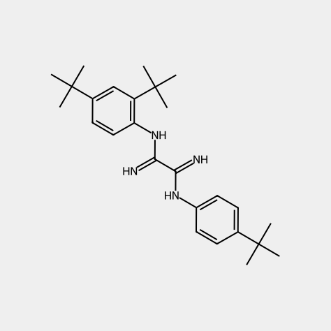 CC(C)(C)c1ccc(NC(=N)C(=N)Nc2ccc(C(C)(C)C)cc2C(C)(C)C)cc1